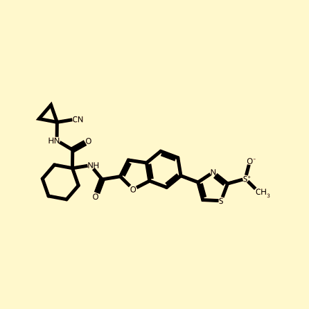 C[S+]([O-])c1nc(-c2ccc3cc(C(=O)NC4(C(=O)NC5(C#N)CC5)CCCCC4)oc3c2)cs1